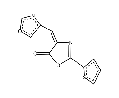 O=C1OC(c2cccs2)=N/C1=C/c1cocn1